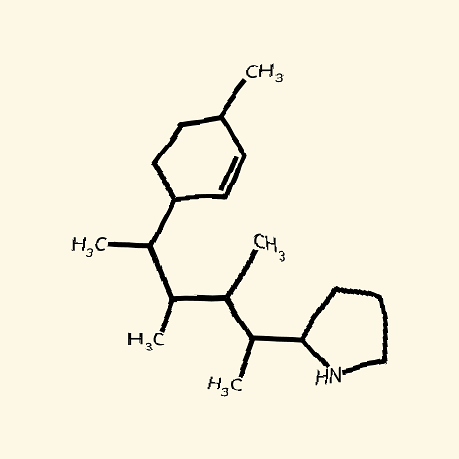 CC1C=CC(C(C)C(C)C(C)C(C)C2CCCN2)CC1